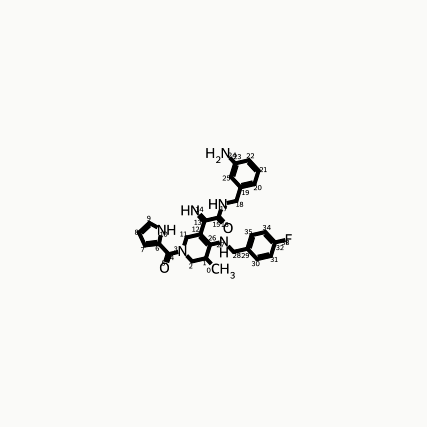 CC1CN(C(=O)c2ccc[nH]2)CC(C(=N)C(=O)NCc2cccc(N)c2)=C1NCc1ccc(F)cc1